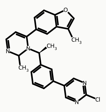 Cc1coc2ccc(C3=CC=NC(C)N3[C@@H](C)c3cccc(-c4cnc(Cl)nc4)c3)cc12